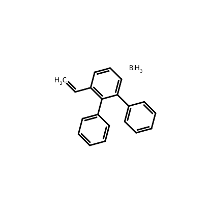 C=Cc1cccc(-c2ccccc2)c1-c1ccccc1.[BiH3]